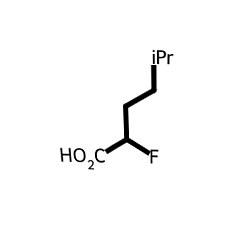 CC(C)CCC(F)C(=O)O